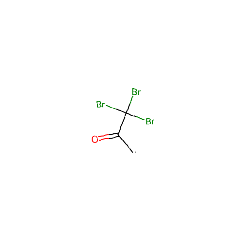 [CH2]C(=O)C(Br)(Br)Br